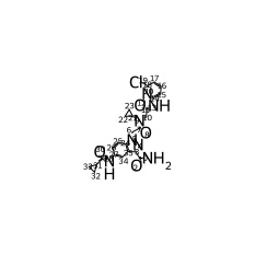 NC(=O)c1nn(CC(=O)N(CC(=O)Nc2cccc(Cl)n2)C2CC2)c2ccc(NC(=O)C3CC3)cc12